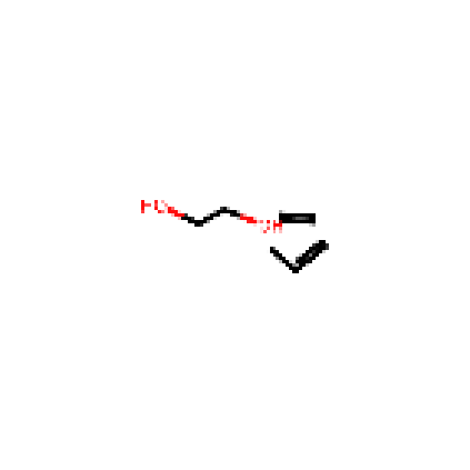 C=C.C=CC.OCCO